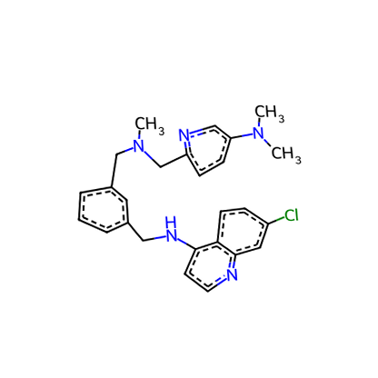 CN(Cc1cccc(CNc2ccnc3cc(Cl)ccc23)c1)Cc1ccc(N(C)C)cn1